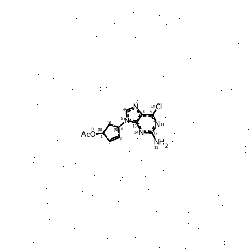 CC(=O)O[C@@H]1C=C[C@H](n2cnc3c(Cl)nc(N)nc32)C1